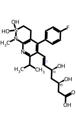 CC(C)c1nc2c(c(-c3ccc(F)cc3)c1/C=C/[C@@H](O)C[C@@H](O)CC(=O)O)CCS(O)(O)N2C